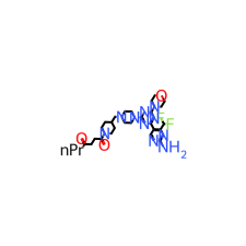 CCCC(=O)CCC(=O)N1CCC(CN2CCN(c3nc(-c4cnc(N)nc4C(F)F)nc(N4CCOCC4)n3)CC2)CC1